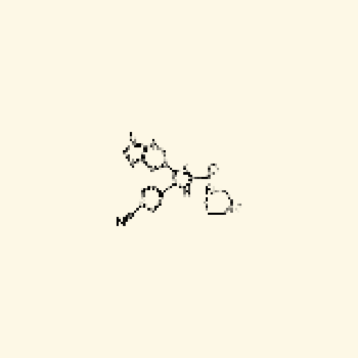 C[C@@H]1CCCN(C(=O)c2nc(-c3ccc(C#N)cc3)c(-c3cnc4c(c3)ncn4C)s2)C1